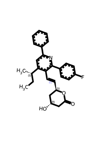 CC[C@H](C)c1cc(-c2ccccc2)nc(-c2ccc(F)cc2)c1/C=C/[C@@H]1C[C@@H](O)CC(=O)O1